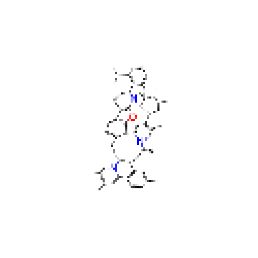 C=C1CC2c3cc(C)ccc3-c3cc(C)c(C)c[n+]3C2CCc2ccc3c(oc4nc(-c5c(C(C)C)cccc5C(C)C)ccc43)c2-c2cc(C3CC(C)CC(C)C3)c(C)c[n+]21